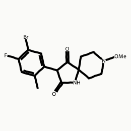 CON1CCC2(CC1)NC(=O)C(c1cc(Br)c(F)cc1C)C2=O